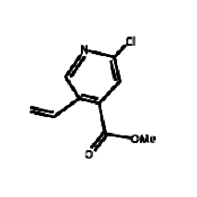 C=Cc1cnc(Cl)cc1C(=O)OC